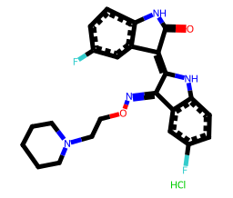 Cl.O=C1Nc2ccc(F)cc2/C1=C1/Nc2ccc(F)cc2/C1=N\OCCN1CCCCC1